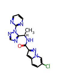 C[C@@H](NC(=O)c1cc2ccc(Cl)cn2n1)c1ncnn1-c1ncccn1